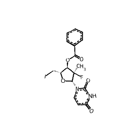 C[C@@]1(F)[C@H](OC(=O)c2ccccc2)[C@@H](CI)O[C@H]1n1ccc(=O)[nH]c1=O